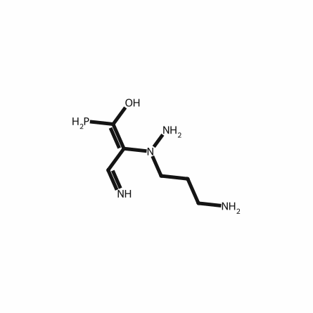 N=C/C(=C(/O)P)N(N)CCCN